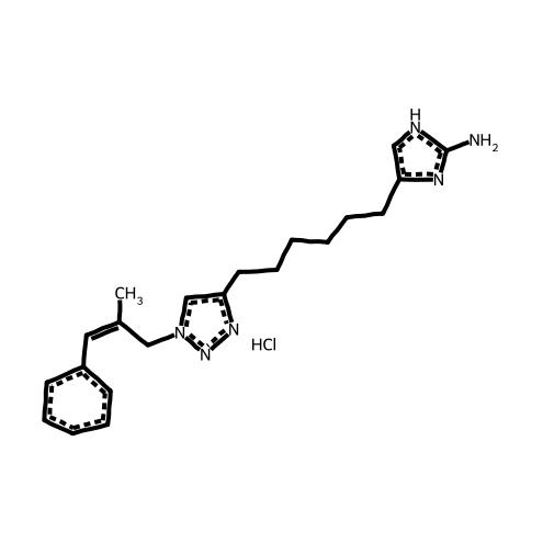 CC(=Cc1ccccc1)Cn1cc(CCCCCCc2c[nH]c(N)n2)nn1.Cl